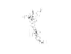 C[C@]1(Cc2ccc(F)cc2F)NC(=N)N(Cc2ccc(CNC(=O)Nc3ccc(N)cc3)cc2)C1=O